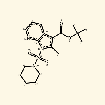 Cc1c(C(=O)OC(C)(C)C)c2cccnc2n1S(=O)(=O)N1CCCCC1